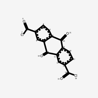 O=C(Cl)c1ccc2c(c1)C(=O)c1cc(C(=O)Cl)ccc1C2=O